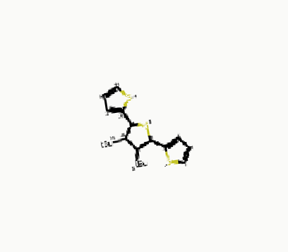 CC(C)(C)C1C(c2cccs2)SC(c2cccs2)C1C(C)(C)C